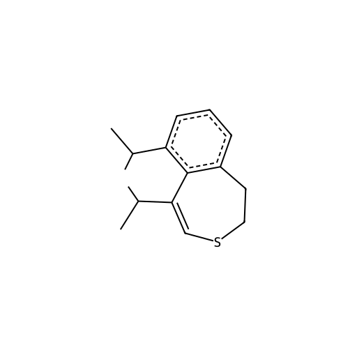 CC(C)C1=CSCCc2cccc(C(C)C)c21